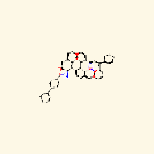 c1ccc(-c2ccc(-c3nc4c(-c5ccc6ccccc6c5-c5ccccc5-c5cc(-c6ccccc6)c6ccccc6n5)c5ccccc5cc4o3)cc2)cc1